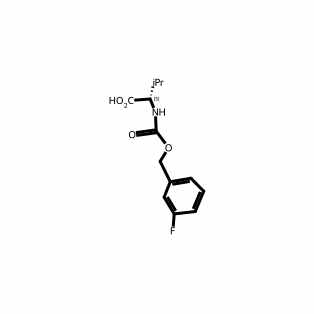 CC(C)[C@H](NC(=O)OCc1cccc(F)c1)C(=O)O